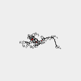 CCCCCCCC[N+](C)(C)CCCCCCCOC(=O)C(C)CC(CC(CC(CC(CC)C(N)=O)C(=O)O)C(=O)OC(COC(COCC)COCC)COC(COCC)COCC)c1ccc(S(=O)(=O)O)cc1